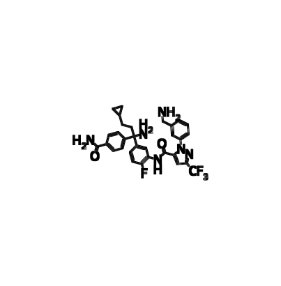 NCc1cccc(-n2nc(C(F)(F)F)cc2C(=O)Nc2cc(C(N)(CCC3CC3)c3ccc(C(N)=O)cc3)ccc2F)c1